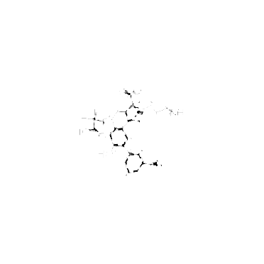 N#Cc1cccc(-c2cc3c(cc2O)CCc2c-3nn(CCCN)c2C(=O)O)c1.O=C(O)C(F)(F)F